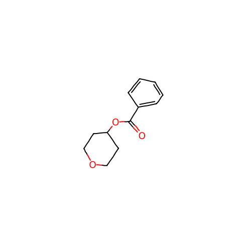 O=C(OC1CCOCC1)c1ccccc1